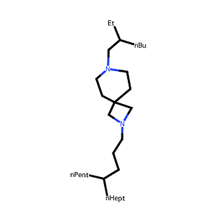 CCCCCCCC(CCCCC)CCCN1CC2(CCN(CC(CC)CCCC)CC2)C1